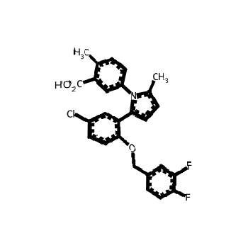 Cc1ccc(-n2c(C)ccc2-c2cc(Cl)ccc2OCc2ccc(F)c(F)c2)cc1C(=O)O